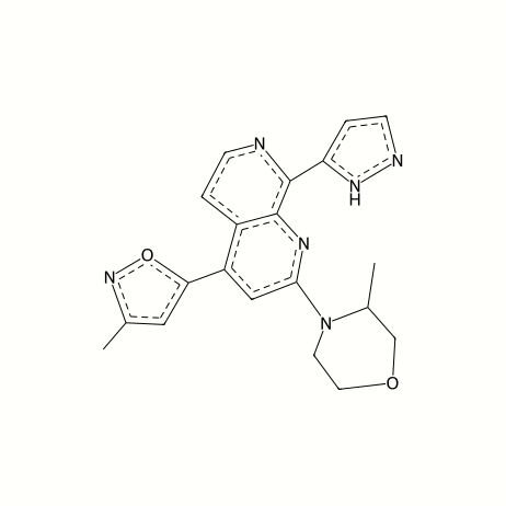 Cc1cc(-c2cc(N3CCOCC3C)nc3c(-c4ccn[nH]4)nccc23)on1